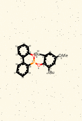 COc1cc(C(C)(C)C)c(OP2Oc3ccccc3-c3ccccc32)c(C(C)(C)C)c1